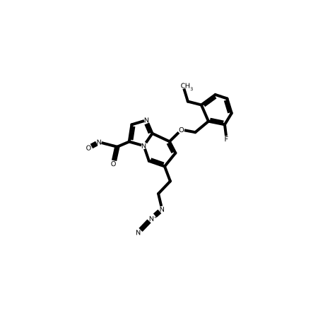 CCc1cccc(F)c1COc1cc(CCN=[N+]=[N-])cn2c(C(=O)N=O)cnc12